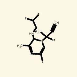 C#CC(C)(CC)N1C=C(F)C=C(C)C1NCC(F)F